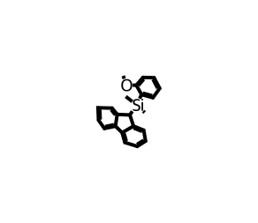 COc1ccccc1[Si](C)(C)C1c2ccccc2-c2ccccc21